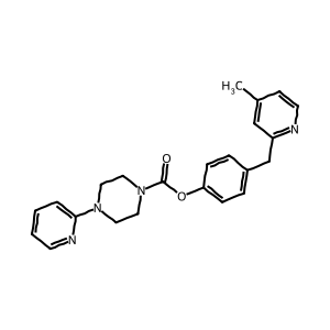 Cc1ccnc(Cc2ccc(OC(=O)N3CCN(c4ccccn4)CC3)cc2)c1